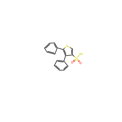 O=S(=O)(S)c1csc(-c2ccccc2)c1-c1ccccc1